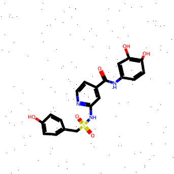 O=C(Nc1ccc(O)c(O)c1)c1ccnc(NS(=O)(=O)Cc2ccc(O)cc2)c1